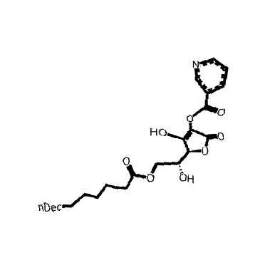 CCCCCCCCCCCCCCCC(=O)OC[C@@H](O)[C@@H]1OC(=O)C(OC(=O)c2cccnc2)=C1O